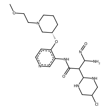 COCCN1CCC[C@H](Oc2ccncc2NC(=O)C(C(N)N=O)C2NCC(Cl)CN2)C1